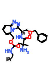 CC(C)CNC(=O)OCc1cccc2nnc([C@@H](COCc3ccccc3)NC(=O)C(C)(C)N)n12